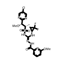 COc1cccc(C(=O)N/N=C(\N[C@H]2CC2(F)F)NS(=O)(=O)[C@@H](C)[C@H](OC)c2ncc(Cl)cn2)n1